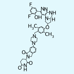 Cc1cc(O[C@@H]2C[C@@H]3CNc4nnc(-c5cc(F)cc(F)c5O)cc4N3C2)c(C)cc1CN1CCN(c2ccc3c(c2)C(=O)N(C2CCC(=O)NC2=O)C3)CC1